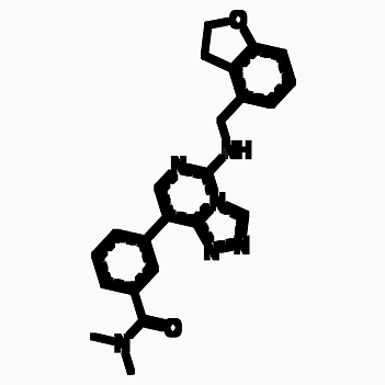 CN(C)C(=O)c1cccc(-c2cnc(NCc3cccc4c3CCO4)n3cnnc23)c1